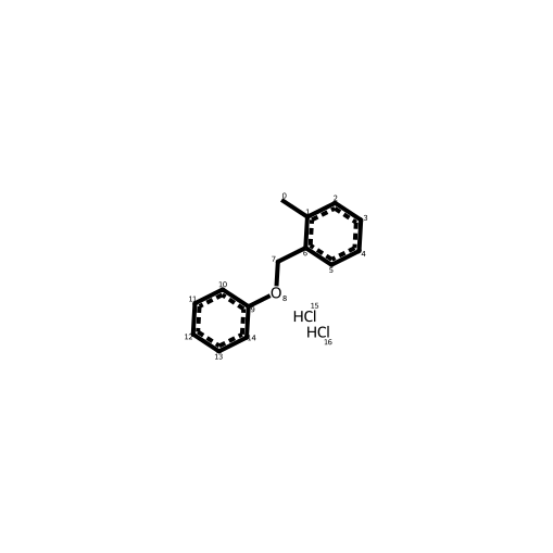 Cc1ccccc1COc1ccccc1.Cl.Cl